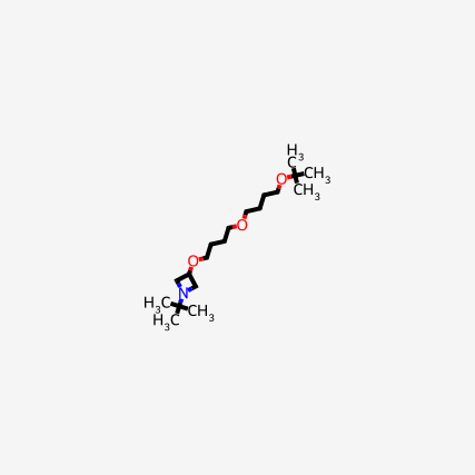 CC(C)(C)OCCCCOCCCCOC1CN(C(C)(C)C)C1